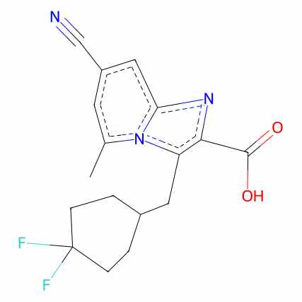 Cc1cc(C#N)cc2nc(C(=O)O)c(CC3CCC(F)(F)CC3)n12